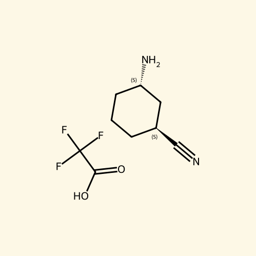 N#C[C@H]1CCC[C@H](N)C1.O=C(O)C(F)(F)F